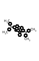 Cc1ccc(N(c2ccc(C)cc2)c2ccc3c4c(ccc3c2)-c2ccc3cc(N(c5ccc(C)cc5)c5ccc(C)cc5)ccc3c2C42c3ccccc3-c3c2ccc2ccccc32)cc1